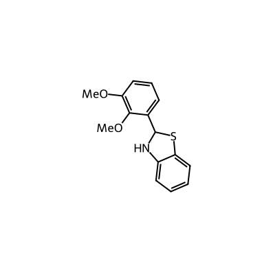 COc1cccc(C2Nc3ccccc3S2)c1OC